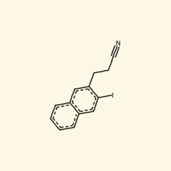 N#CCCc1cc2ccccc2cc1I